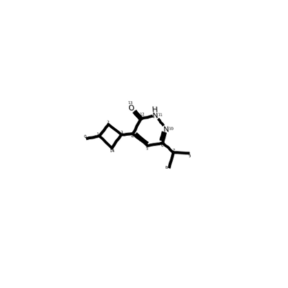 CC1CC(c2cc(C(C)C)n[nH]c2=O)C1